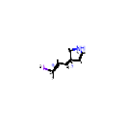 C/C(I)=C\C=C1\C=CNC1